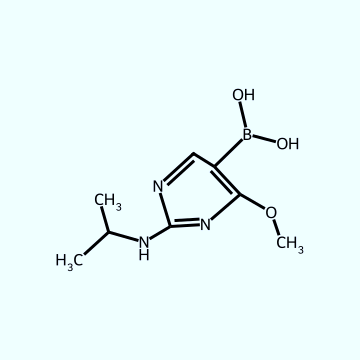 COc1nc(NC(C)C)ncc1B(O)O